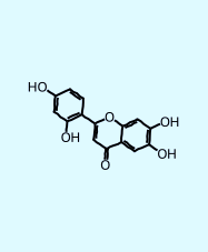 O=c1cc(-c2ccc(O)cc2O)oc2cc(O)c(O)cc12